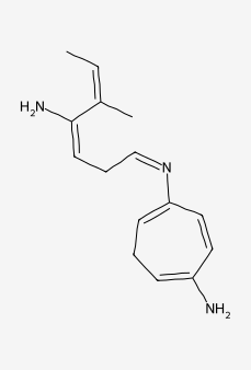 C/C=C(C)\C(N)=C/C/C=N\C1=CCC=C(N)C=C1